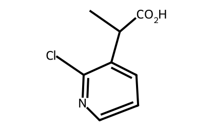 CC(C(=O)O)c1cccnc1Cl